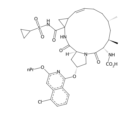 CCCOc1cc2c(Cl)cccc2c(O[C@@H]2C[C@H]3C(=O)NC4(C(=O)NS(=O)(=O)C5CC5)CC4/C=C\CC[C@H](C)C[C@@H](C)[C@H](NC(=O)O)C(=O)N3C2)n1